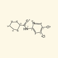 O=C(Nc1cc(Cl)c(Cl)cn1)C1CCCCC1